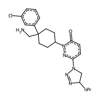 CCCC1CN(c2ccc(=O)n(C3CCC(CN)(c4cccc(Cl)c4)CC3)n2)N=N1